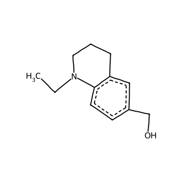 CCN1CCCc2cc(CO)ccc21